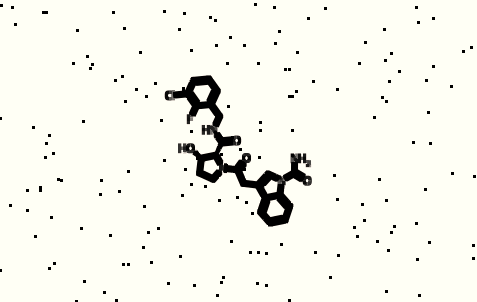 NC(=O)n1cc(CC(=O)N2CC[C@@H](O)[C@H]2C(=O)NCc2cccc(Cl)c2F)c2ccccc21